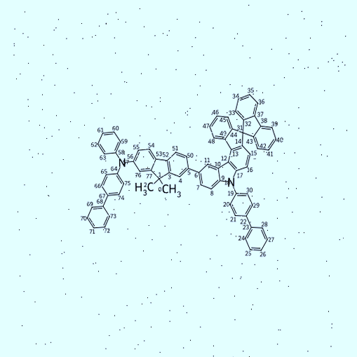 CC1(C)c2cc(-c3ccc4c(c3)c3c5c(ccc3n4-c3ccc(-c4ccccc4)cc3)C3(c4ccccc4-c4ccccc43)c3ccccc3-5)ccc2-c2ccc(N(c3ccccc3)c3ccc(-c4ccccc4)cc3)cc21